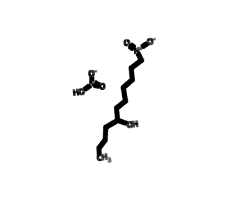 CCCCC(O)CCCCCC[N+](=O)[O-].O=[N+]([O-])O